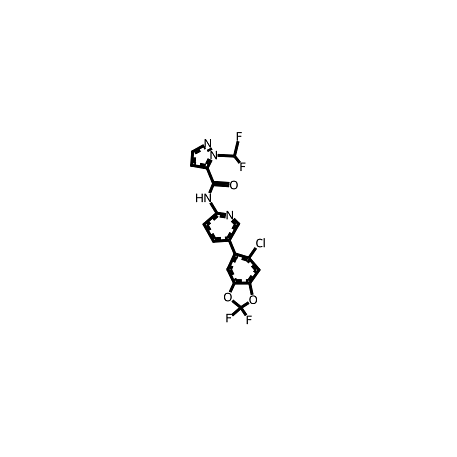 O=C(Nc1ccc(-c2cc3c(cc2Cl)OC(F)(F)O3)cn1)c1ccnn1C(F)F